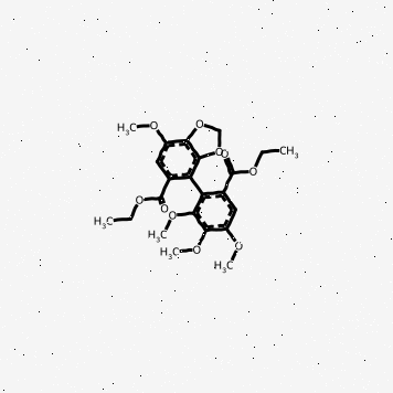 CCOC(=O)c1cc(OC)c(OC)c(OC)c1-c1c(C(=O)OCC)cc(OC)c2c1OCO2